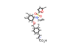 Cc1ccc(S(=O)(=O)N(CC(C)C)c2cc(C)c(C)cc2OCc2ccc(/C=C/C(=O)O)cc2C)o1